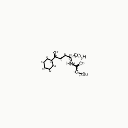 CC(C)(C)OC(=O)N[C@H](CCC(=O)C1CCCCC1)C(=O)O